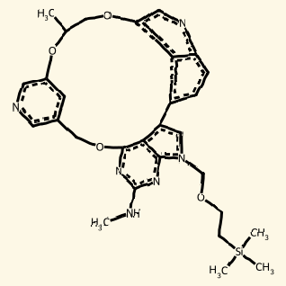 CNc1nc2c3c(cn(COCC[Si](C)(C)C)c3n1)-c1ccc3ncc(cc3c1)OCC(C)Oc1cncc(c1)CO2